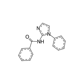 O=C(Nc1nccn1-c1ccccc1)c1ccccc1